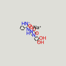 [NH-]C(=O)C(NC(=O)N1CCN(c2ccc(O)c(O)c2)C(=O)C1=O)c1ccccc1.[Na+]